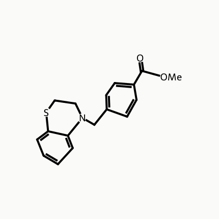 COC(=O)c1ccc(CN2CCSc3ccccc32)cc1